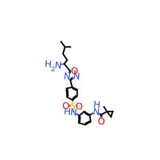 CC(C)CC[C@H](N)c1nc(-c2ccc(S(=O)(=O)Nc3cccc(NC(=O)C4(C)CC4)c3)cc2)no1